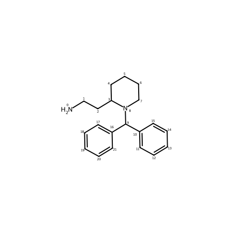 NCCC1CCCCN1C(c1ccccc1)c1ccccc1